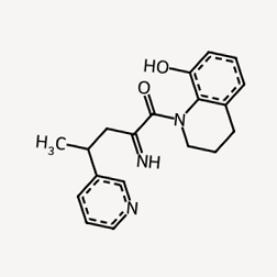 CC(CC(=N)C(=O)N1CCCc2cccc(O)c21)c1cccnc1